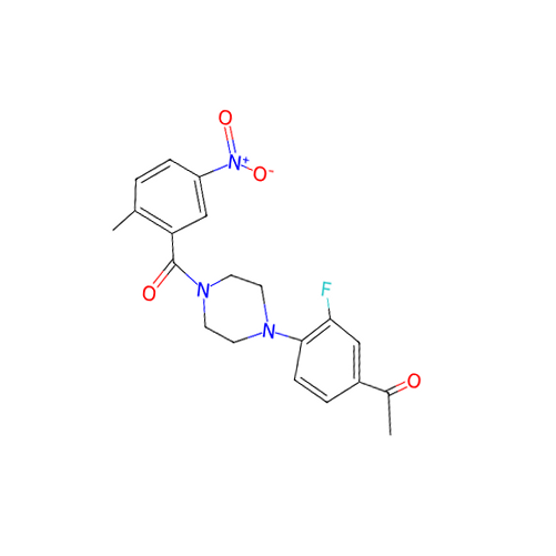 CC(=O)c1ccc(N2CCN(C(=O)c3cc([N+](=O)[O-])ccc3C)CC2)c(F)c1